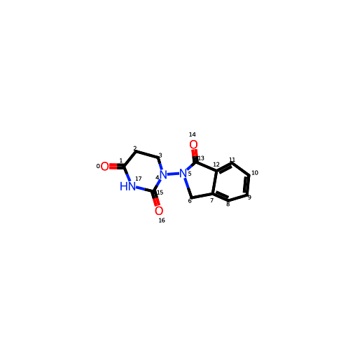 O=C1CCN(N2Cc3ccccc3C2=O)C(=O)N1